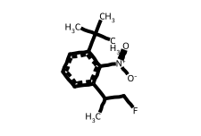 C[C](CF)c1cccc(C(C)(C)C)c1[N+](=O)[O-]